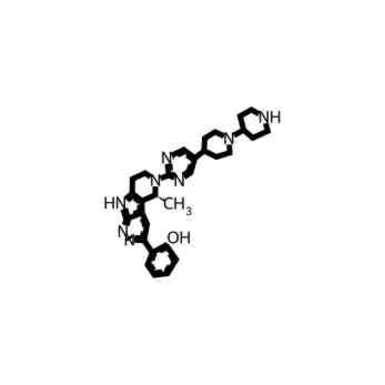 C[C@@H]1c2c([nH]c3nnc(-c4ccccc4O)cc23)CCN1c1ncc(C2CCN(C3CCNCC3)CC2)cn1